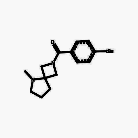 CN1CCCC12CN(C(=O)c1ccc(C(C)(C)C)cc1)C2